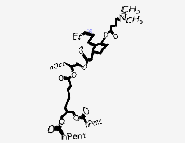 CC/C=C\CC1C(CC(=O)OCC(CCCCCCCC)OC(=O)CCCCC(COC(=O)CCCCC)COC(=O)CCCCC)CCC1OC(=O)CCCN(C)C